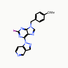 COc1ccc(Cn2cnc3c(-n4ncc5cnccc54)nc(I)nc32)cc1